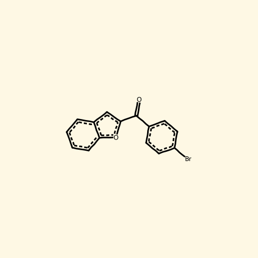 O=C(c1ccc(Br)cc1)c1cc2ccccc2o1